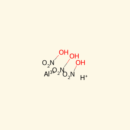 O=[N+]([O-])O.O=[N+]([O-])O.O=[N+]([O-])O.[Al+3].[H+]